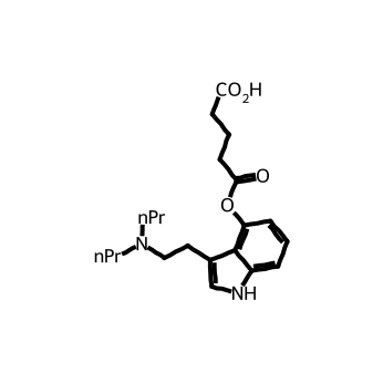 CCCN(CCC)CCc1c[nH]c2cccc(OC(=O)CCCC(=O)O)c12